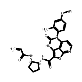 C=CC(=O)N[C@H]1CCC[C@H]1NC(=O)c1sc2nccc3c2c1NC(=O)N3c1ccc(OC(C)C)cc1C